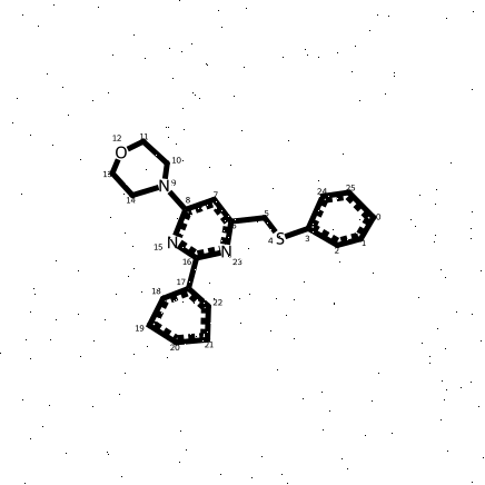 c1ccc(SCc2cc(N3CCOCC3)nc(-c3ccccc3)n2)cc1